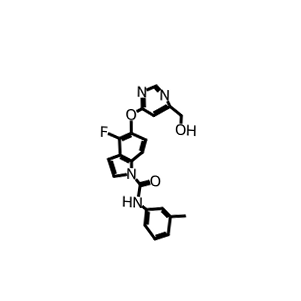 Cc1cccc(NC(=O)n2ccc3c(F)c(Oc4cc(CO)ncn4)ccc32)c1